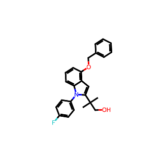 CC(C)(CO)c1cc2c(OCc3ccccc3)cccc2n1-c1ccc(F)cc1